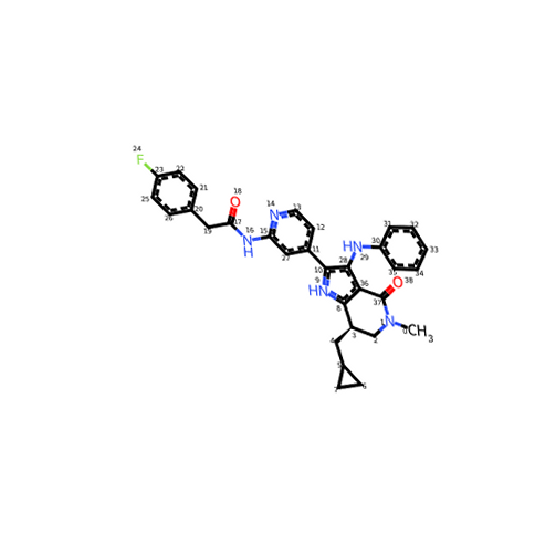 CN1C[C@@H](CC2CC2)c2[nH]c(-c3ccnc(NC(=O)Cc4ccc(F)cc4)c3)c(Nc3ccccc3)c2C1=O